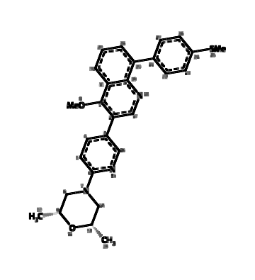 COc1c(-c2ccc(N3C[C@@H](C)O[C@@H](C)C3)nc2)cnc2c(-c3ccc(SC)cc3)cccc12